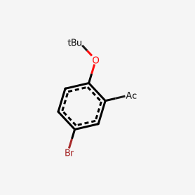 CC(=O)c1cc(Br)ccc1OC(C)(C)C